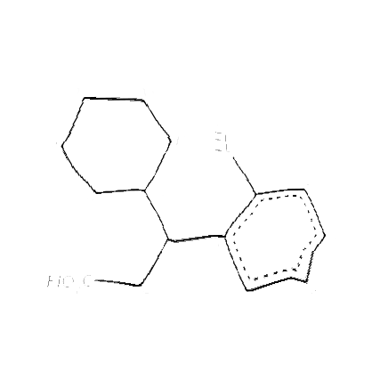 CCc1ccccc1C(CC(=O)O)C1CCCCC1